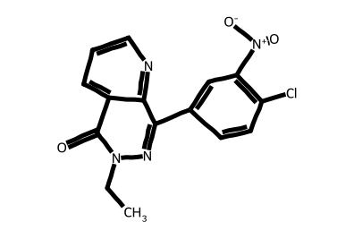 CCn1nc(-c2ccc(Cl)c([N+](=O)[O-])c2)c2ncccc2c1=O